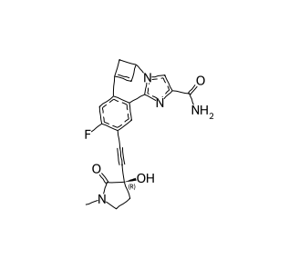 CN1CC[C@@](O)(C#Cc2cc3c(cc2F)C2=CC(C2)n2cc(C(N)=O)nc2-3)C1=O